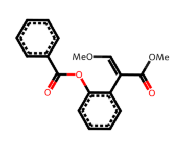 CO/C=C(/C(=O)OC)c1ccccc1OC(=O)c1ccccc1